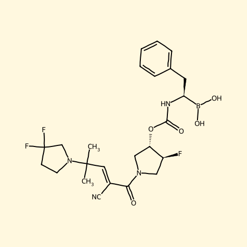 CC(C)(C=C(C#N)C(=O)N1C[C@H](OC(=O)N[C@@H](Cc2ccccc2)B(O)O)[C@@H](F)C1)N1CCC(F)(F)C1